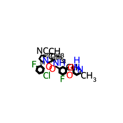 Cc1cc(Oc2c(C)cc(C(=O)N[C@H](C)C(=O)N3[C@H](c4cc(Cl)ccc4F)CC[C@@H]3C(C)(C)C#N)cc2F)c(=O)[nH]n1